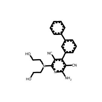 N#Cc1c(N)nc(N(CCO)CCO)c(C#N)c1-c1cccc(-c2ccccc2)c1